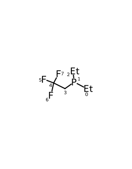 CCP(CC)CC(F)(F)F